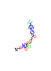 C[C@@H](COCCC(=O)N1CCN(c2ncc(C(F)(F)F)cn2)CC1)Oc1cnn(COCC[Si](C)(C)C)c(=O)c1Cl